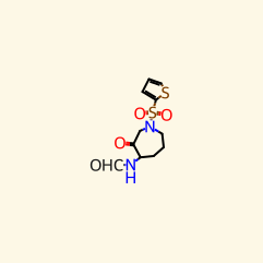 O=CNC1CCCN(S(=O)(=O)c2cccs2)CC1=O